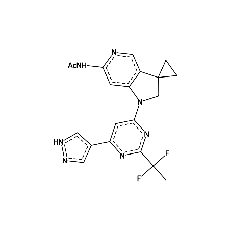 CC(=O)Nc1cc2c(cn1)C1(CC1)CN2c1cc(-c2cn[nH]c2)nc(C(C)(F)F)n1